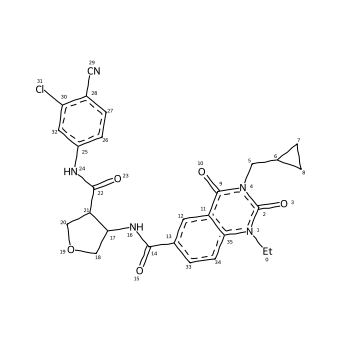 CCn1c(=O)n(CC2CC2)c(=O)c2cc(C(=O)NC3COCC3C(=O)Nc3ccc(C#N)c(Cl)c3)ccc21